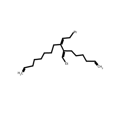 C=CCCCCCCC(=CCC(C)C)C(=CCC)CCCCC=C